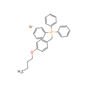 CCCCOc1ccc(C[P+](c2ccccc2)(c2ccccc2)c2ccccc2)cc1.[Br-]